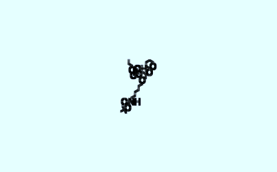 CCCOP(=O)(O)OCC(COCCCCCCNC(=O)OC(C)(C)C)OC1CCCCO1